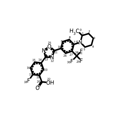 CC1CCCCN1c1ccc(-c2nc(-c3ccc(F)c(C(=O)O)c3)no2)cc1C(F)(F)F